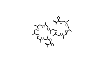 C=C(C)C(=O)OCC(C)OCC(C)OCC(C)OCC(C)OCC(C)OCC(C)OCC(C)OCC(C)OCC(C)OCC(C)OC(=O)C(=C)C